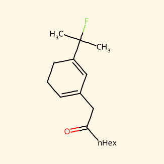 CCCCCCC(=O)CC1=CCCC(C(C)(C)F)=C1